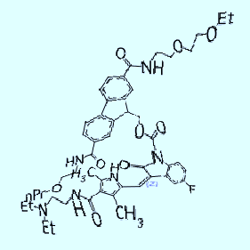 CCCOCCNC(=O)c1ccc2c(c1)C(COC(=O)N1C(=O)/C(=C\c3[nH]c(C)c(C(=O)NCCN(CC)CC)c3C)c3cc(F)ccc31)c1cc(C(=O)NCCOCCOCC)ccc1-2